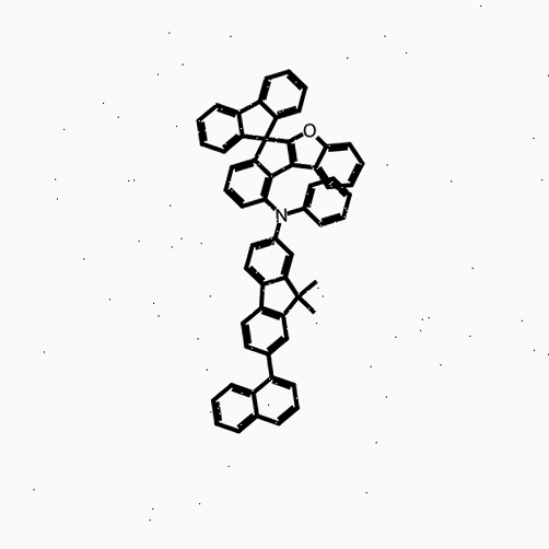 CC1(C)c2cc(-c3cccc4ccccc34)ccc2-c2ccc(N(c3ccccc3)c3cccc4c3-c3c(oc5ccccc35)C43c4ccccc4-c4ccccc43)cc21